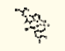 Cc1ccc(NS(=O)(=O)Cc2cccc(Cl)c2Cl)c(=O)n1C(C(N)=O)C(C)ON=C(N)N